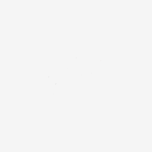 Brc1ccc(-c2cccc3c2C=C[CH]3)cc1